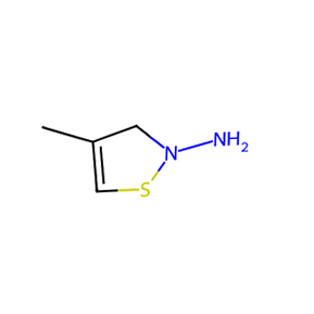 CC1=CSN(N)C1